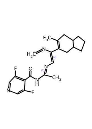 C=N/C(=C\N=C(/C)NC(=O)c1c(F)cncc1F)C1=C(C(F)(F)F)CC2CCCC2C1